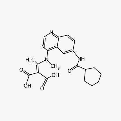 CC(=C(C(=O)O)C(=O)O)N(C)c1ncnc2ccc(NC(=O)C3CCCCC3)cc12